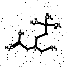 C=C(O)CN(CC)CCC(C)(C)C